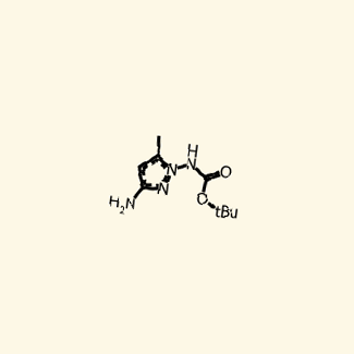 Cc1cc(N)nn1NC(=O)OC(C)(C)C